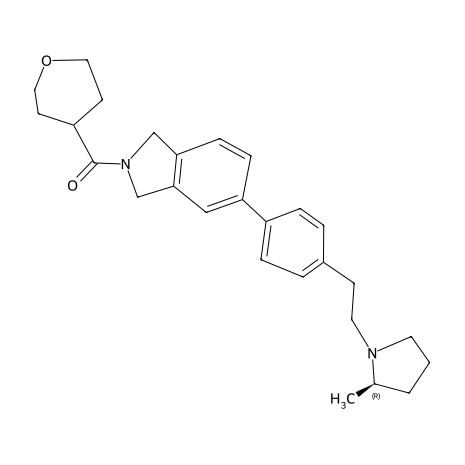 C[C@@H]1CCCN1CCc1ccc(-c2ccc3c(c2)CN(C(=O)C2CCOCC2)C3)cc1